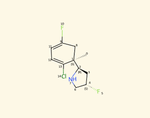 C[C@@]1([C@H]2C[C@H](F)CN2)CC(F)=CC=C1Cl